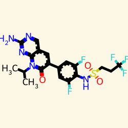 CC(C)n1c(=O)c(-c2cc(F)c(NS(=O)(=O)CCC(F)(F)F)c(F)c2)cc2cnc(N)nc21